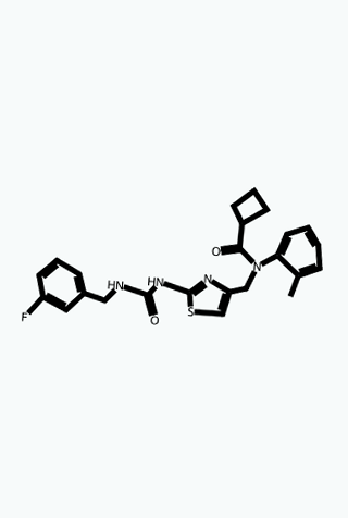 Cc1ccccc1N(Cc1csc(NC(=O)NCc2cccc(F)c2)n1)C(=O)C1CCC1